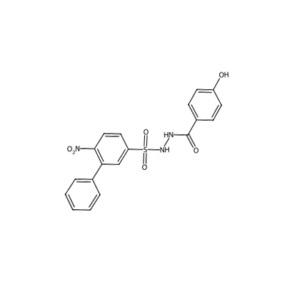 O=C(NNS(=O)(=O)c1ccc([N+](=O)[O-])c(-c2ccccc2)c1)c1ccc(O)cc1